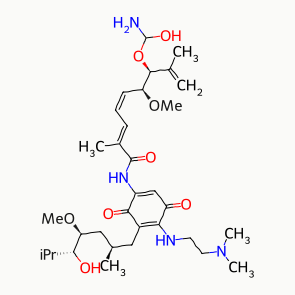 C=C(C)[C@H](OC(N)O)[C@H](/C=C\C=C(/C)C(=O)NC1=CC(=O)C(NCCN(C)C)=C(C[C@@H](C)C[C@H](OC)[C@H](O)C(C)C)C1=O)OC